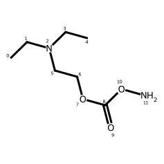 CCN(CC)CCOC(=O)ON